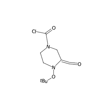 CC(C)(C)ON1CCN(C(=O)Cl)CC1=C=O